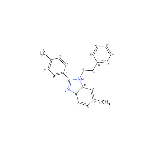 Cc1ccc(-c2nc3ccc(C)cc3n2CCc2ccccc2)cc1